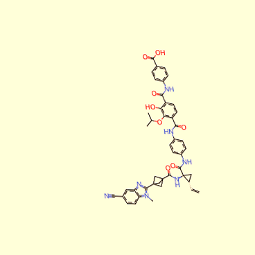 C=C[C@H]1C[C@@]1(NC(=O)C12CC(c3nc4cc(C#N)ccc4n3C)(C1)C2)C(=O)Nc1ccc(NC(=O)c2ccc(C(=O)Nc3ccc(C(=O)O)cc3)c(O)c2OC(C)C)cc1